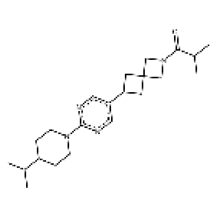 CC(C)C(=O)N1CC2(CC(c3cnc(N4CCC(C(C)C)CC4)nc3)C2)C1